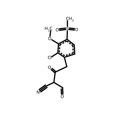 COc1c(S(C)(=O)=O)ccc(CC(=O)C(C#N)C=O)c1Cl